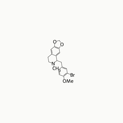 COc1ccc(CC2c3cc4c(cc3CCN2C)OCO4)cc1Br